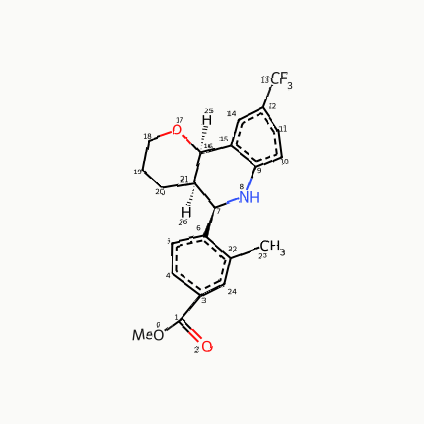 COC(=O)c1ccc([C@@H]2Nc3ccc(C(F)(F)F)cc3[C@@H]3OCCC[C@H]23)c(C)c1